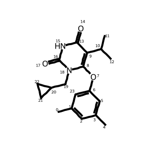 Cc1cc(C)cc(Oc2c(C(C)C)c(=O)[nH]c(=O)n2CC2CC2)c1